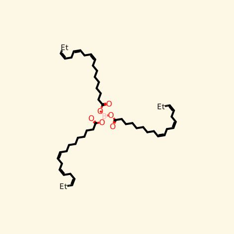 CC/C=C\C/C=C\C/C=C\CCCCCCCC(=O)OB(OC(=O)CCCCCCC/C=C\C/C=C\C/C=C\CC)OC(=O)CCCCCCC/C=C\C/C=C\C/C=C\CC